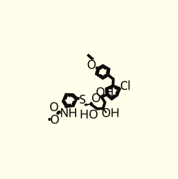 CCOc1ccc(Cc2cc([C@]3(O)C[C@@H](O)[C@@H](O)[C@@H](CSc4cccc(NC(=O)OC)c4)O3)ccc2Cl)cc1